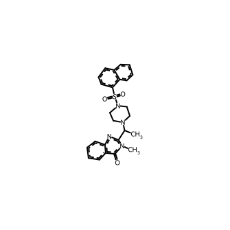 CC(c1nc2ccccc2c(=O)n1C)N1CCN(S(=O)(=O)c2cccc3ccccc23)CC1